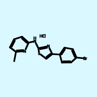 Cc1cccc(Nc2nc(-c3ccc(Br)cc3)cs2)n1.Cl